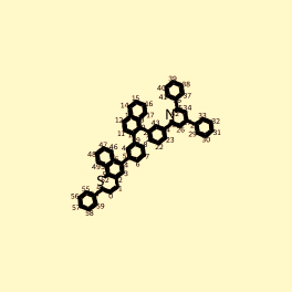 C1=Cc2cc(-c3cccc(-c4ccc5ccccc5c4-c4cccc(-c5cc(-c6ccccc6)cc(-c6ccccc6)n5)c4)c3)c3ccccc3c2SC=1c1ccccc1